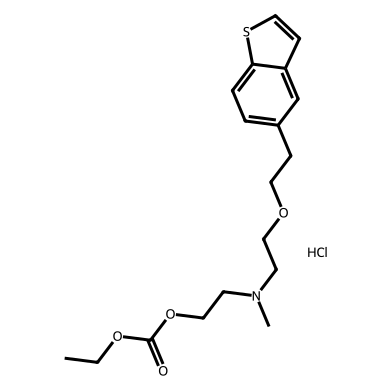 CCOC(=O)OCCN(C)CCOCCc1ccc2sccc2c1.Cl